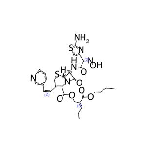 CC/C=C(\COC(=O)C1=C(/C=C\c2cccnc2)CS[C@@H]2[C@H](NC(=O)/C(=N\O)c3csc(N)n3)C(=O)N12)C(=O)OCCCC